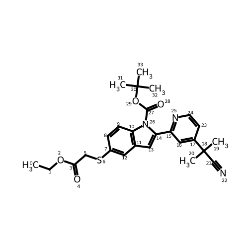 CCOC(=O)CSc1ccc2c(c1)cc(-c1cc(C(C)(C)C#N)ccn1)n2C(=O)OC(C)(C)C